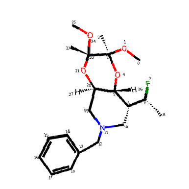 CO[C@@]1(C)O[C@@H]2[C@H]([C@@H](C)F)CN(Cc3ccccc3)C[C@H]2O[C@]1(C)OC